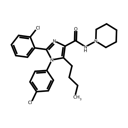 CCCCc1c(C(=O)NN2CCCCC2)nc(-c2ccccc2Cl)n1-c1ccc(Cl)cc1